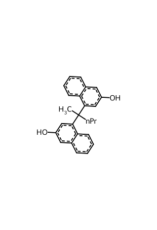 CCCC(C)(c1cc(O)cc2ccccc12)c1cc(O)cc2ccccc12